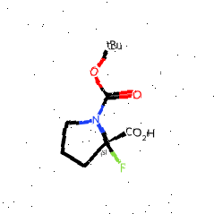 CC(C)(C)OC(=O)N1CCC[C@]1(F)C(=O)O